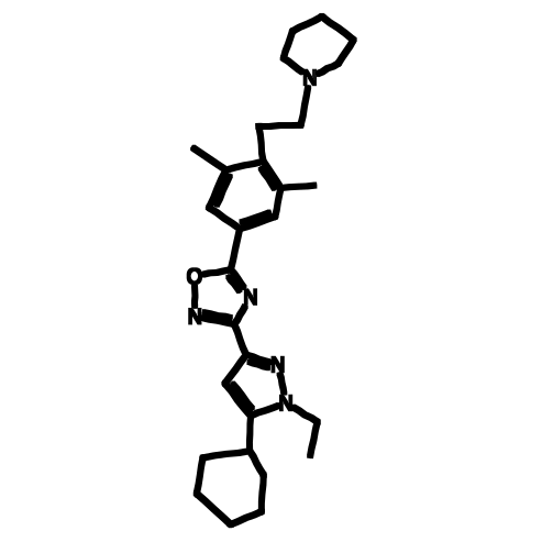 CCn1nc(-c2noc(-c3cc(C)c(CCN4CCCCC4)c(C)c3)n2)cc1C1CCCCC1